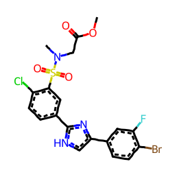 COC(=O)CN(C)S(=O)(=O)c1cc(-c2nc(-c3ccc(Br)c(F)c3)c[nH]2)ccc1Cl